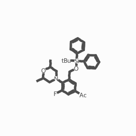 CC(=O)c1cc(F)c(N2CC(C)OC(C)C2)c(CO[Si](c2ccccc2)(c2ccccc2)C(C)(C)C)c1